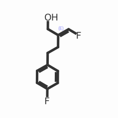 OC/C(=C/F)CCc1ccc(F)cc1